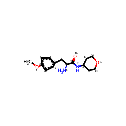 COc1ccc(C[C@H](N)C(=O)NC2CCOCC2)cc1